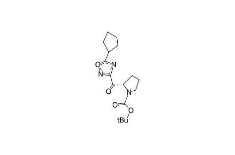 CC(C)(C)OC(=O)N1CCC[C@H]1C(=O)c1noc(C2CCCC2)n1